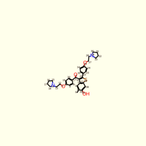 Cc1cc2c(C(=O)c3ccc(OCCN4CCCC4)cc3)c(-c3ccc(OCCN4CCCC4)cc3)sc2cc1O